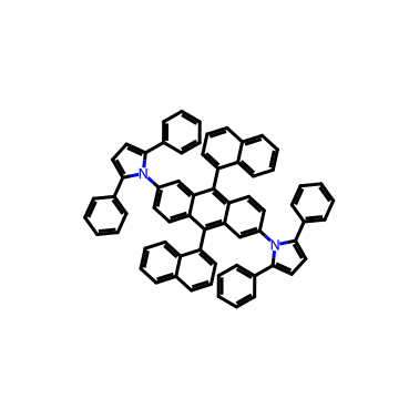 c1ccc(-c2ccc(-c3ccccc3)n2-c2ccc3c(-c4cccc5ccccc45)c4cc(-n5c(-c6ccccc6)ccc5-c5ccccc5)ccc4c(-c4cccc5ccccc45)c3c2)cc1